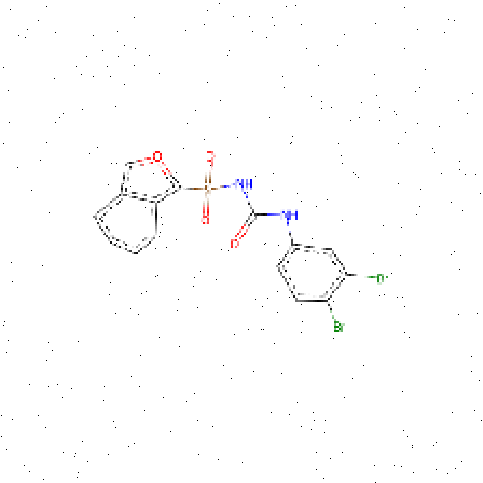 O=C(Nc1ccc(Br)c(Br)c1)NS(=O)(=O)c1occ2ccccc12